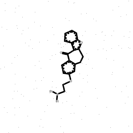 CCN(CC)CCOc1ccc2c(c1)CCc1oc3ccccc3c1C2=O